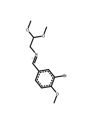 COc1ccc(/C=N/CC(OC)OC)cc1Br